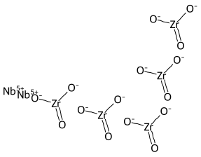 [Nb+5].[Nb+5].[O]=[Zr]([O-])[O-].[O]=[Zr]([O-])[O-].[O]=[Zr]([O-])[O-].[O]=[Zr]([O-])[O-].[O]=[Zr]([O-])[O-]